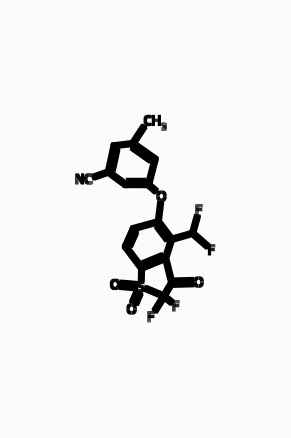 Cc1cc(C#N)cc(Oc2ccc3c(c2C(F)F)C(=O)C(F)(F)S3(=O)=O)c1